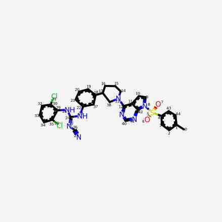 Cc1ccc(S(=O)(=O)n2ccc3c(N4CCCC(c5cccc(N/C(=N\C#N)Nc6c(Cl)cccc6Cl)c5)C4)ncnc32)cc1